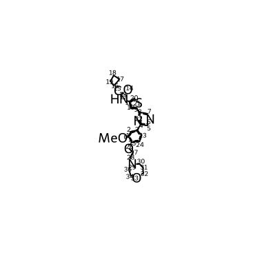 COc1cc(-c2cncc(-c3cc(NC(=O)CC4CCC4)cs3)n2)ccc1OCCN1CCCOCC1